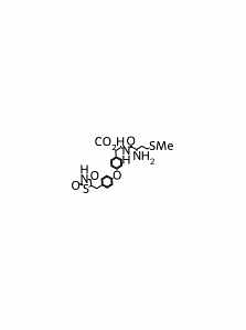 CSCCC(N)C(=O)NC(Cc1ccc(Oc2ccc(CC3SC(=O)NC3=O)cc2)cc1)C(=O)O